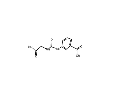 O=C(O)CNC(=O)Nc1cccc(C(=O)O)c1